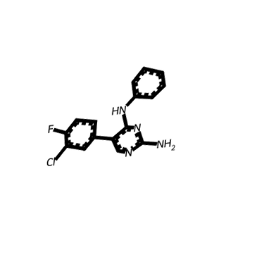 Nc1ncc(-c2ccc(F)c(Cl)c2)c(Nc2ccccc2)n1